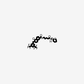 O=C(CCCCNC(=O)c1ccc2c(c1)CC/C(=C\c1cc(C(F)(F)F)cc(C(F)(F)F)c1)C2=O)NOC1CCCCO1